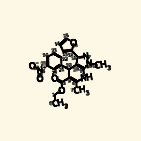 CCOC(=O)C1=C(C)Nc2c(c(-c3ccco3)nn2C)C1c1cccc([N+](=O)[O-])c1